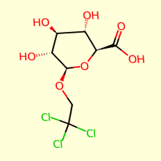 O=C(O)[C@H]1O[C@@H](OCC(Cl)(Cl)Cl)[C@H](O)[C@@H](O)[C@@H]1O